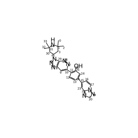 CC1(C)CC(n2nnc3cc(-c4ccc(-c5ccn6ncnc6c5)cc4O)nnc32)CC(C)(C)N1